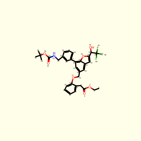 CCOC(=O)Cc1ccccc1OCc1cc(-c2cccc(CNC(=O)OC(C)(C)C)c2)c2oc(C(O)C(F)(F)F)cc2c1